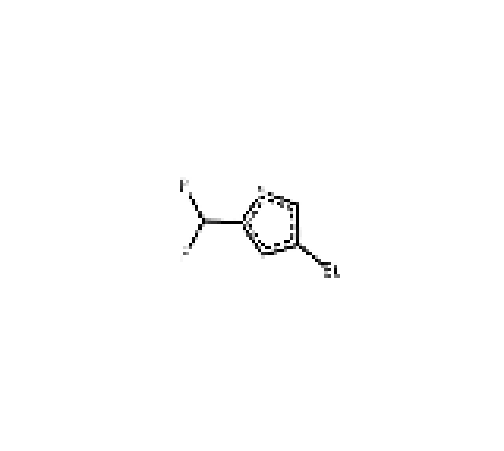 CCc1csc(C(F)F)c1